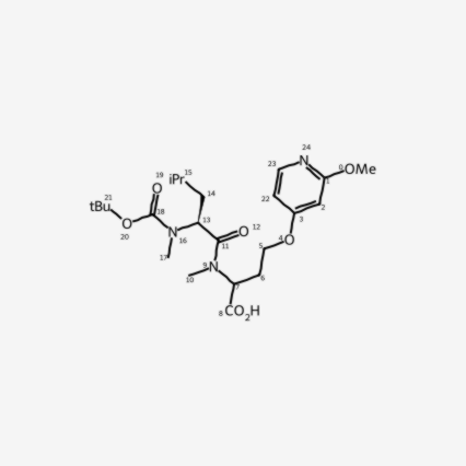 COc1cc(OCCC(C(=O)O)N(C)C(=O)[C@H](CC(C)C)N(C)C(=O)OC(C)(C)C)ccn1